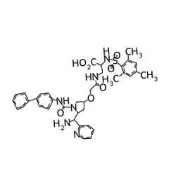 Cc1cc(C)c(S(=O)(=O)NC(CNC(=O)COC2CC(C(N)c3ccccn3)N(C(=O)Nc3ccc(-c4ccccc4)cc3)C2)C(=O)O)c(C)c1